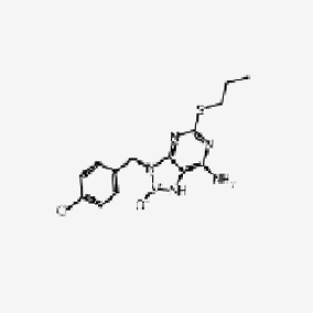 CCCSc1nc(N)c2c(n1)N(Cc1ccc(Cl)cc1)[S+]([O-])N2